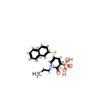 CCCn1cc(Sc2ccc3ccccc3c2)cc(P(=O)(O)O)c1=O